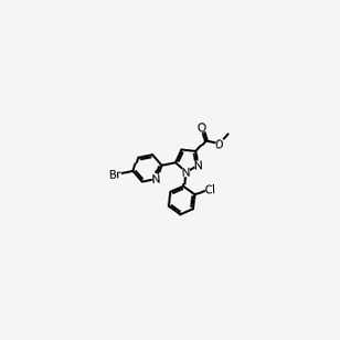 COC(=O)c1cc(-c2ccc(Br)cn2)n(-c2ccccc2Cl)n1